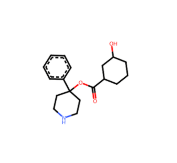 O=C(OC1(c2ccccc2)CCNCC1)C1CCCC(O)C1